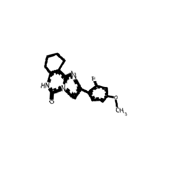 COc1ccc(-c2cn3c(=O)[nH]c4c(c3n2)CCCC4)c(F)c1